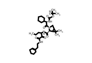 CCCC(NC(=O)[C@@H]1C2C(CN1C(=O)[C@@H](NC(=O)OC(C)(C)C)C1CCCCC1)C2(C)C)C(=O)C(=O)NCCC1=CCCCC1